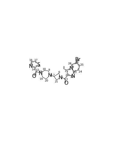 Cc1c(C(=O)N2CC(N3CCN(C(=O)c4nccs4)CC3)C2)nc2ccc(Br)cn12